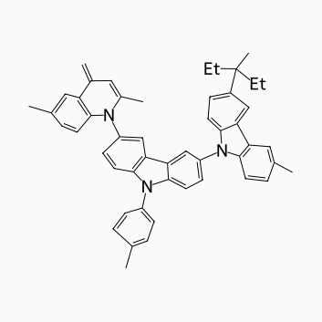 C=C1C=C(C)N(c2ccc3c(c2)c2cc(-n4c5ccc(C)cc5c5cc(C(C)(CC)CC)ccc54)ccc2n3-c2ccc(C)cc2)c2ccc(C)cc21